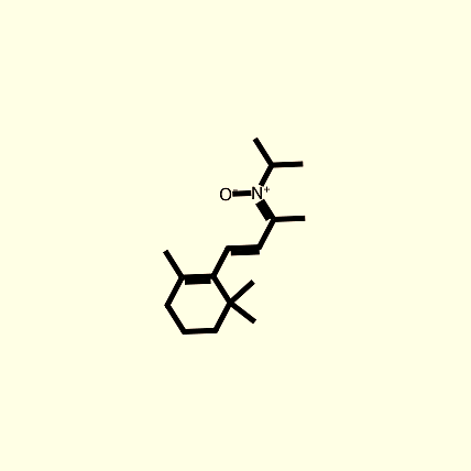 CC1=C(C=CC(C)=[N+]([O-])C(C)C)C(C)(C)CCC1